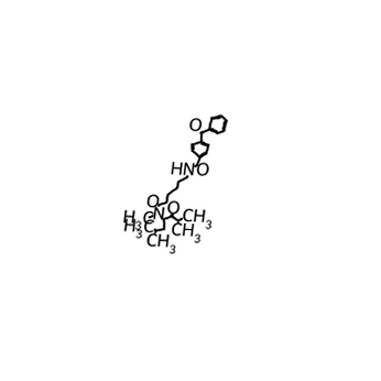 CC(C)CC(C(=O)C(C)C)N(C)C(=O)CCCCCNC(=O)c1ccc(C(=O)c2ccccc2)cc1